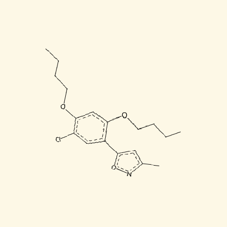 CCCCOc1cc(OCCCC)c(-c2cc(C)no2)cc1Cl